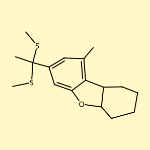 CSC(C)(SC)c1cc(C)c2c(c1)OC1CCCCC21